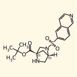 CC(C)(C)OC(=O)[C@@]12C[C@@H](CN1)N(S(=O)(=O)c1ccc3cnccc3c1)C2